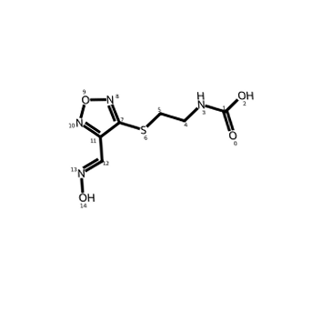 O=C(O)NCCSc1nonc1C=NO